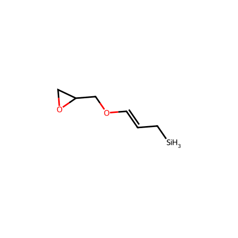 [SiH3]CC=COCC1CO1